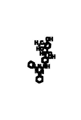 Cc1c(O)ccc(C(=O)Nc2ccc(Nc3nc(N4CCCCC4)nc(N4CCCCC4)n3)cc2O)c1O